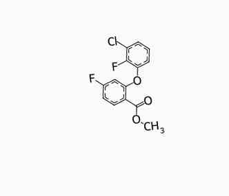 COC(=O)c1ccc(F)cc1Oc1cccc(Cl)c1F